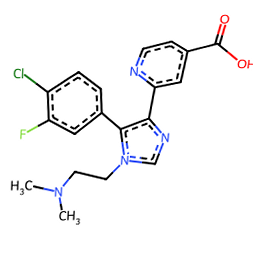 CN(C)CCn1cnc(-c2cc(C(=O)O)ccn2)c1-c1ccc(Cl)c(F)c1